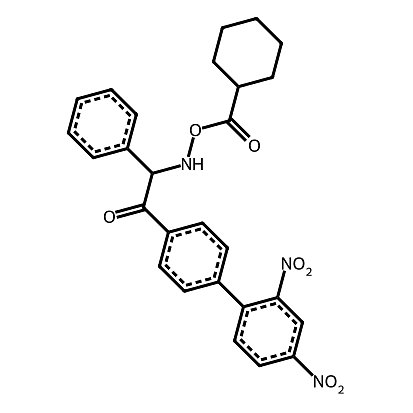 O=C(ONC(C(=O)c1ccc(-c2ccc([N+](=O)[O-])cc2[N+](=O)[O-])cc1)c1ccccc1)C1CCCCC1